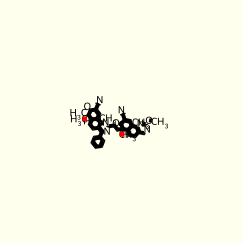 COc1ncc2c(n1)[C@@]1(C)C=C(C#N)C(=O)C(C)(CCc3nc(-c4ccccc4)c4c(n3)[C@@]3(C)C=C(C#N)C(=O)C(C)(C)[C@@H]3CC4)[C@@H]1CC2